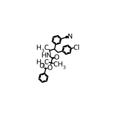 CC(NC(=O)C(C)(C)OC(=O)c1ccccc1)C(Cc1ccc(Cl)cc1)c1cccc(C#N)c1